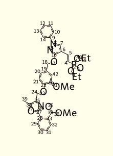 CCOP(=O)(/C=C/c1cn(-c2ccccc2)nc1OCc1ccc(OCc2nc(-c3ccccc3C(=O)OC)oc2C)c(OC)c1)OCC